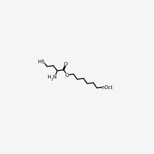 CCCCCCCCCCCCCCOC(=O)C(N)CCS